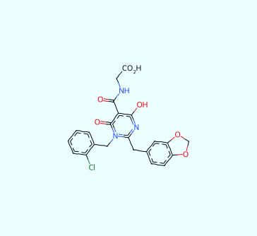 O=C(O)CNC(=O)c1c(O)nc(Cc2ccc3c(c2)OCO3)n(Cc2ccccc2Cl)c1=O